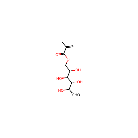 C=C(C)C(=O)OC[C@@H](O)[C@H](O)[C@H](O)[C@H](O)C=O